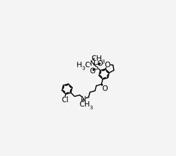 CN(CCCCC(=O)c1cc2c(c(S(=O)(=O)N(C)C)c1)OCC2)CCc1ccccc1Cl